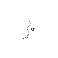 CCC[CH2][Zn+].[Cl-]